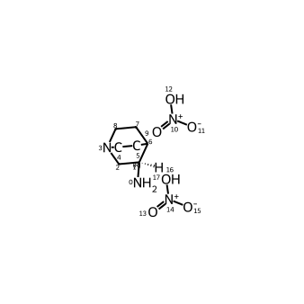 N[C@H]1CN2CCC1CC2.O=[N+]([O-])O.O=[N+]([O-])O